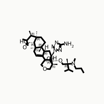 CCCN(C)[C@@](C)(CO[C@H]1[C@H](n2nnc(N)n2)C[C@@]23COC[C@]1(C)[C@@H]2CC[C@H]1C3=CC[C@@]2(C)[C@H](C(=O)O)[C@@](C)([C@H](C)C(C)C)CC[C@]12C)C(C)C